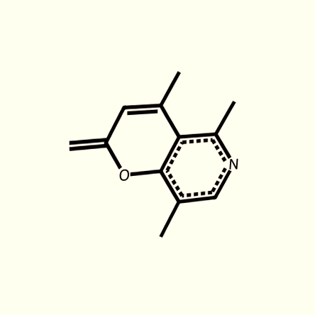 C=C1C=C(C)c2c(C)ncc(C)c2O1